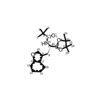 CC(C)(C)[S+]([O-])N[C@@H](Cc1coc2ccccc12)B1OC(C)(C)C(C)(C)O1